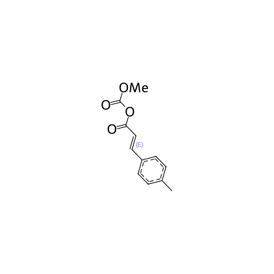 COC(=O)OC(=O)/C=C/c1ccc(C)cc1